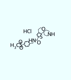 CS(=O)(=O)c1ccc(CNC(=O)c2cc3c(s2)C2(CCNCC2)OCC3)cc1.Cl